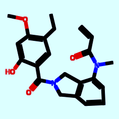 C=CC(=O)N(C)c1cccc2c1CN(C(=O)c1cc(CC)c(OC)cc1O)C2